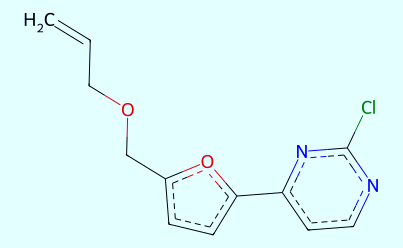 C=CCOCc1ccc(-c2ccnc(Cl)n2)o1